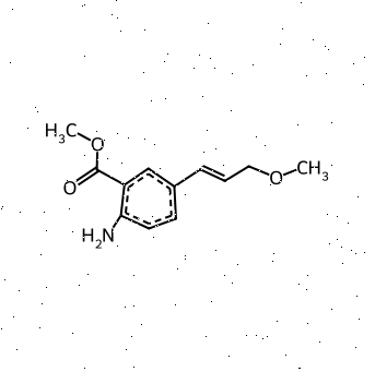 COCC=Cc1ccc(N)c(C(=O)OC)c1